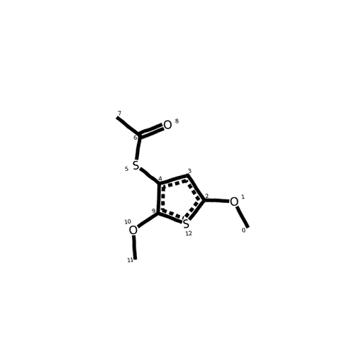 COc1cc(SC(C)=O)c(OC)s1